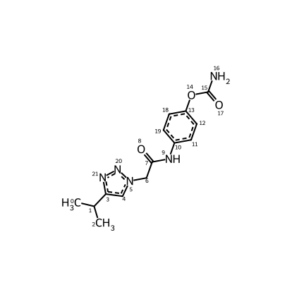 CC(C)c1cn(CC(=O)Nc2ccc(OC(N)=O)cc2)nn1